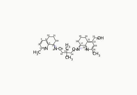 Cc1ccc2c(n1)/C(=N/OCC(C)(C)CO/N=C1\CCCc3c(CO)cc(C)nc31)CCC2